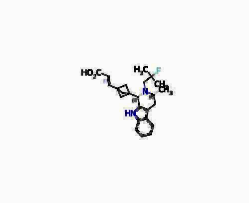 C[C@@H]1Cc2c([nH]c3ccccc23)[C@H](C23CC(/C=C/C(=O)O)(C2)C3)N1CC(C)(C)F